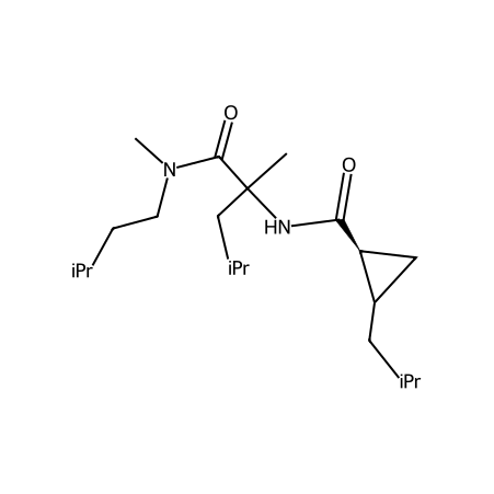 CC(C)CCN(C)C(=O)C(C)(CC(C)C)NC(=O)[C@H]1CC1CC(C)C